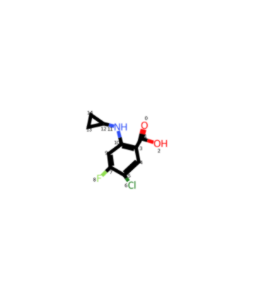 O=C(O)c1cc(Cl)c(F)cc1NC1CC1